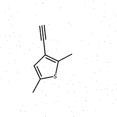 C#Cc1cc(C)sc1C